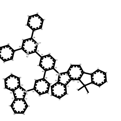 CC1(C)c2ccccc2-c2ccc3c(c21)c1ccccc1n3-c1ccc(-c2nc(-c3ccccc3)cc(-c3ccccc3)n2)cc1-c1cccc(-n2c3ccccc3c3ccccc32)c1